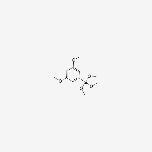 COc1cc(OC)cc([Si](OC)(OC)OC)c1